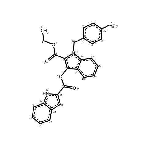 CCOC(=O)c1c(OC(=O)c2cc3ccccc3[nH]2)c2ccccc2n1Cc1ccc(C)cc1